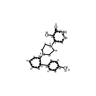 O=c1[nH]ncc(N2CCN(c3ccccc3-c3ccc(C(F)(F)F)cc3)CC2)c1Cl